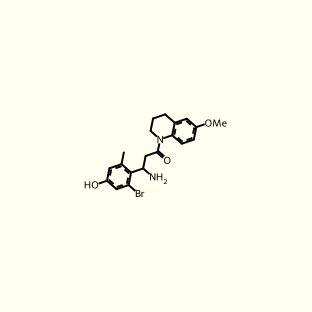 COc1ccc2c(c1)CCCN2C(=O)CC(N)c1c(C)cc(O)cc1Br